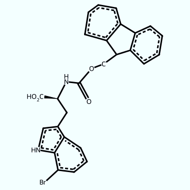 O=C(N[C@@H](Cc1c[nH]c2c(Br)cccc12)C(=O)O)OCC1c2ccccc2-c2ccccc21